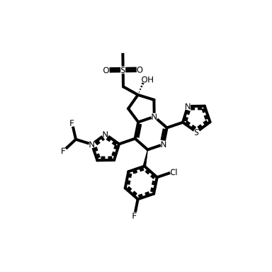 CS(=O)(=O)C[C@]1(O)CC2=C(c3ccn(C(F)F)n3)[C@H](c3ccc(F)cc3Cl)N=C(c3nccs3)N2C1